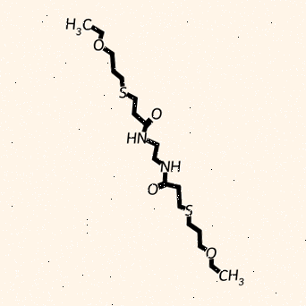 CCOCCCSCCC(=O)NCCNC(=O)CCSCCCOCC